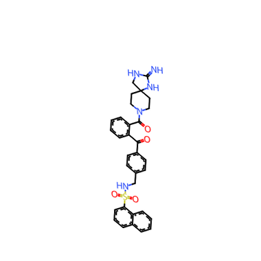 N=C1NCC2(CCN(C(=O)c3ccccc3C(=O)c3ccc(CNS(=O)(=O)c4cccc5ccccc45)cc3)CC2)N1